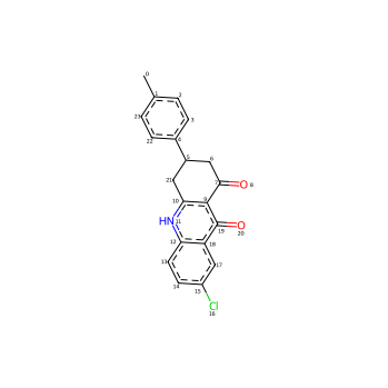 Cc1ccc(C2CC(=O)c3c([nH]c4ccc(Cl)cc4c3=O)C2)cc1